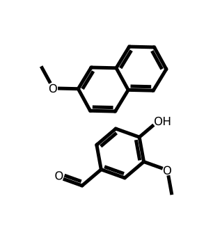 COc1cc(C=O)ccc1O.COc1ccc2ccccc2c1